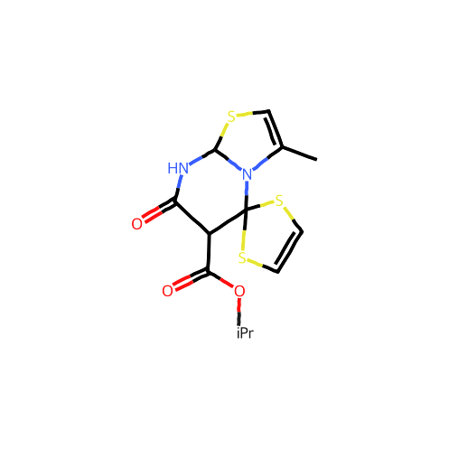 CC1=CSC2NC(=O)C(C(=O)OC(C)C)C3(SC=CS3)N12